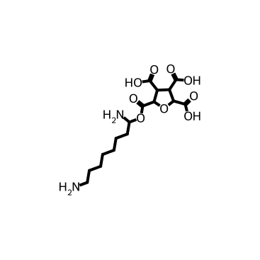 NCCCCCCCC(N)OC(=O)C1OC(C(=O)O)C(C(=O)O)C1C(=O)O